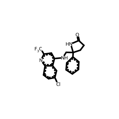 O=C1CCC(CNc2cc(C(F)(F)F)nc3ccc(Cl)cc23)(c2ccccc2)N1